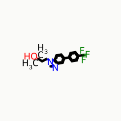 CC(C)(O)CCn1cnc2cc(-c3ccc(C(F)(F)F)cc3)ccc21